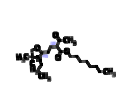 CCCCCCCCOC(=O)/C(=C\C=C1/OCC(C)(C)N1CCC)C(C)=O